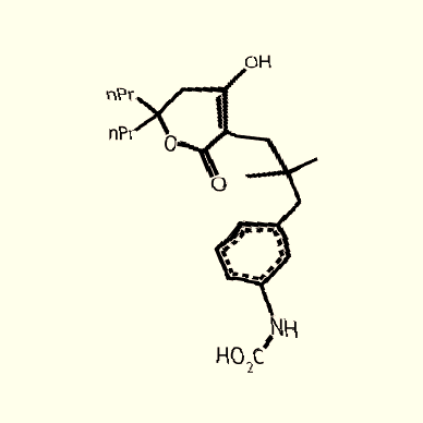 CCCC1(CCC)CC(O)=C(CC(C)(C)Cc2cccc(NC(=O)O)c2)C(=O)O1